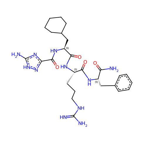 N=C(N)NCCC[C@H](NC(=O)[C@H](CC1CCCCC1)NC(=O)c1n[nH]c(N)n1)C(=O)N[C@@H](Cc1ccccc1)C(N)=O